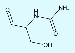 NC(=O)NC(C=O)CO